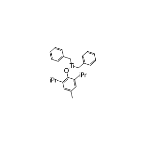 Cc1cc(C(C)C)c([O][Ti]([CH2]c2ccccc2)[CH2]c2ccccc2)c(C(C)C)c1